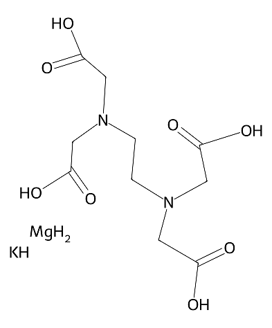 O=C(O)CN(CCN(CC(=O)O)CC(=O)O)CC(=O)O.[KH].[MgH2]